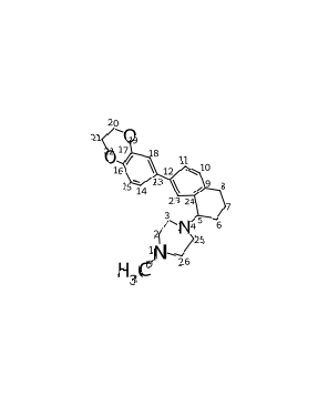 CN1CCN(C2CCCc3ccc(-c4ccc5c(c4)OCCO5)cc32)CC1